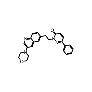 O=c1ccc(-c2ccccc2)nn1CCc1ccc2ncc(N3CCOCC3)cc2c1